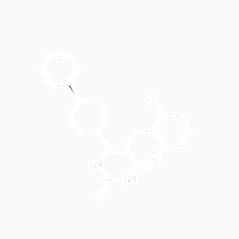 O=c1[nH]c(=S)[nH]c([C@H]2CC[C@H](c3ccccc3)CC2)c1Cc1c(Cl)cccc1Cl